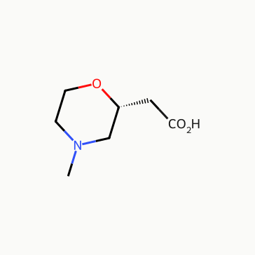 CN1CCO[C@H](CC(=O)O)C1